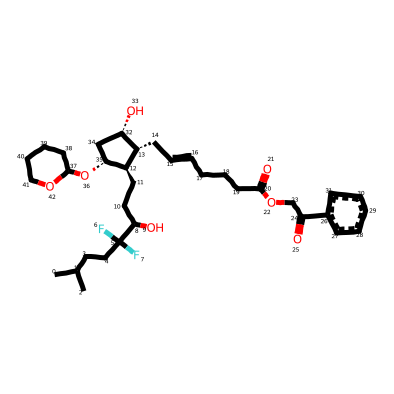 CC(C)CCC(F)(F)C(O)CC[C@@H]1[C@@H](CC=CCCCC(=O)OCC(=O)c2ccccc2)[C@@H](O)C[C@H]1OC1CCCCO1